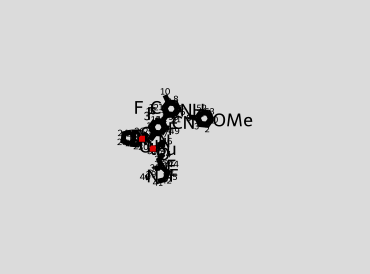 COc1ccc(CNc2cc(C)c(C(F)(F)F)c(-c3c(F)cc4c(N5CC6CCC(C5)N6C(=O)OC(C)(C)C)nc(OC[C@]5(C)CN(C)CCC5(F)F)nc4c3F)c2C#N)cc1